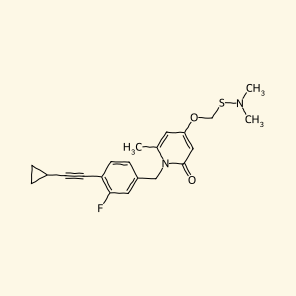 Cc1cc(OCSN(C)C)cc(=O)n1Cc1ccc(C#CC2CC2)c(F)c1